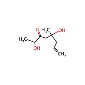 C=CCC(C)(O)CC(=O)C(C)O